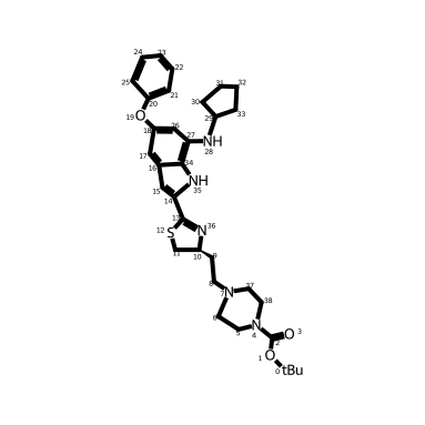 CC(C)(C)OC(=O)N1CCN(CC[C@H]2CSC(c3cc4cc(Oc5ccccc5)cc(NC5CCCC5)c4[nH]3)=N2)CC1